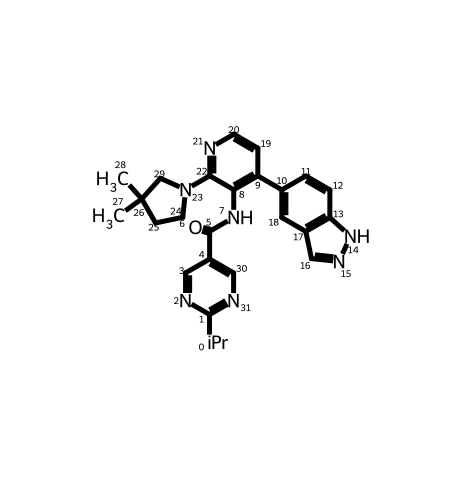 CC(C)c1ncc(C(=O)Nc2c(-c3ccc4[nH]ncc4c3)ccnc2N2CCC(C)(C)C2)cn1